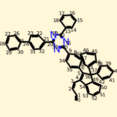 C=C/C=C\C1=C(c2ccc(-c3nc(-c4ccccc4)nc(-c4ccc(-c5ccccc5)cc4)n3)cc2)C(c2ccccc2)(c2ccccc2)c2ccccc21